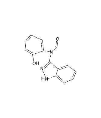 O=CN(c1ccccc1O)c1n[nH]c2ccccc12